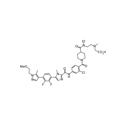 CCN(CCN(C)CC(=O)O)C(=O)C1CCN(C(=O)c2ccc(NC(=O)c3ncc(-c4ccc(-c5cnn(CCOC)c5C)c(F)c4F)n3C)cc2Cl)CC1